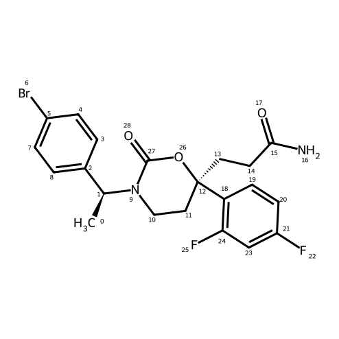 C[C@@H](c1ccc(Br)cc1)N1CC[C@](CCC(N)=O)(c2ccc(F)cc2F)OC1=O